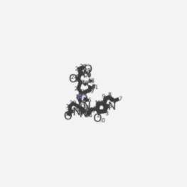 COc1cc2nc(C)ccc2cc1-c1cnc([C@@]2(C/C=C/CCC(=O)c3ccon3)CCC(=O)N2)n1COCC[Si](C)(C)C